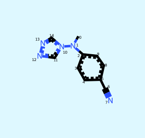 CN(c1ccc(C#N)cc1)n1cnnc1